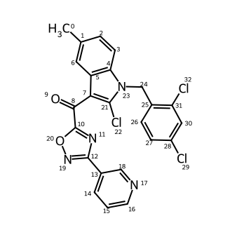 Cc1ccc2c(c1)c(C(=O)c1nc(-c3cccnc3)no1)c(Cl)n2Cc1ccc(Cl)cc1Cl